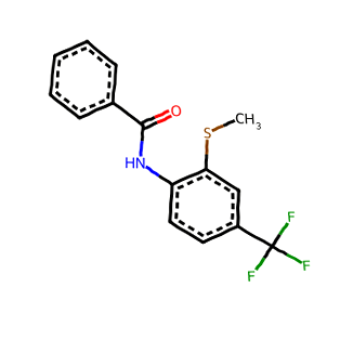 CSc1cc(C(F)(F)F)ccc1NC(=O)c1ccccc1